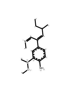 CCC(C)/C=C(\C=N/C)c1ccc(N)c(N(C)OC)c1